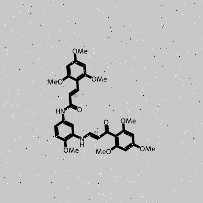 COc1cc(OC)c(/C=C/C(=O)Nc2ccc(OC)c(N/C=C/C(=O)c3c(OC)cc(OC)cc3OC)c2)c(OC)c1